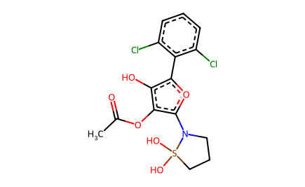 CC(=O)Oc1c(N2CCCS2(O)O)oc(-c2c(Cl)cccc2Cl)c1O